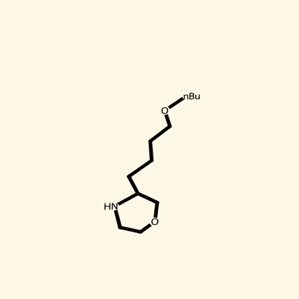 CCCCOCCCCC1COCCN1